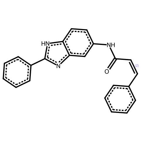 O=C(/C=C\c1ccccc1)Nc1ccc2[nH]c(-c3ccccc3)nc2c1